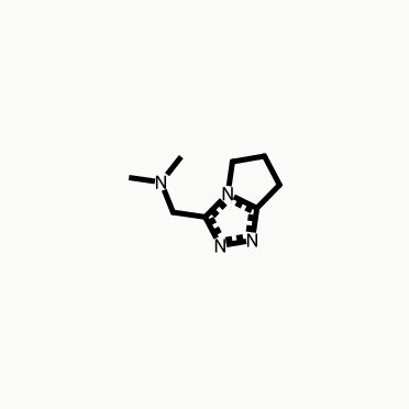 CN(C)Cc1nnc2n1CCC2